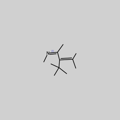 C/N=C(/C)C(=C(C)C)C(C)(C)C